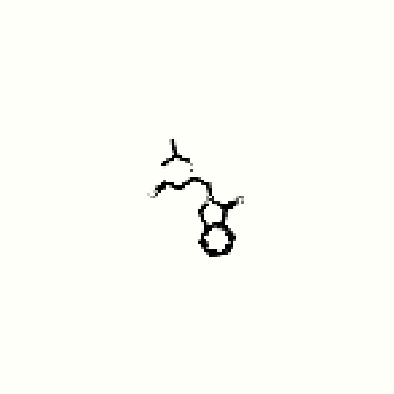 CC(C)C[C@@H](CC=O)CN1Cc2ccccc2C1=O